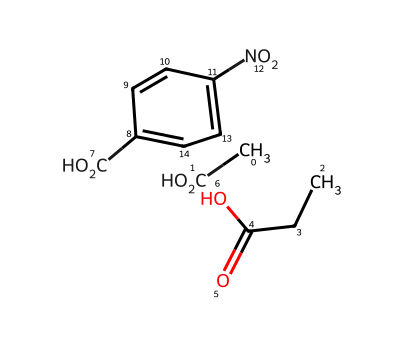 CC(=O)O.CCC(=O)O.O=C(O)c1ccc([N+](=O)[O-])cc1